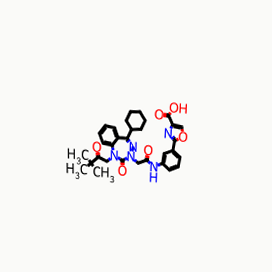 CC(C)(C)C(=O)CN1C(=O)N(CC(=O)Nc2cccc(-c3nc(C(=O)O)co3)c2)N=C(C2CCCCC2)c2ccccc21